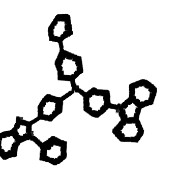 c1ccc(-c2ccc(N(c3ccc(-c4nc5ccccc5n4-c4ccccc4)cc3)c3ccc(-n4c5ccccc5c5ccccc54)cc3)cc2)cc1